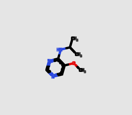 COc1cncnc1NC(C)C